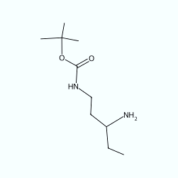 CCC(N)CCNC(=O)OC(C)(C)C